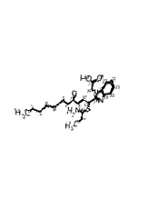 CCCCCCCC(=O)C=CC(SC(N)CC)c1nc2ccccc2n1CC(=O)O